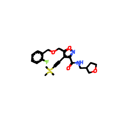 CS(C)(C)C#Cc1c(C(=O)NCC2CCOC2)noc1COCc1ccccc1F